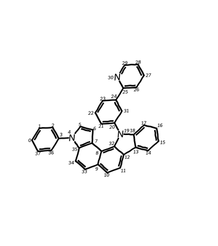 c1ccc(-n2ccc3c4c(ccc5c6ccccc6n(-c6cccc(-c7ccccn7)c6)c54)ccc32)cc1